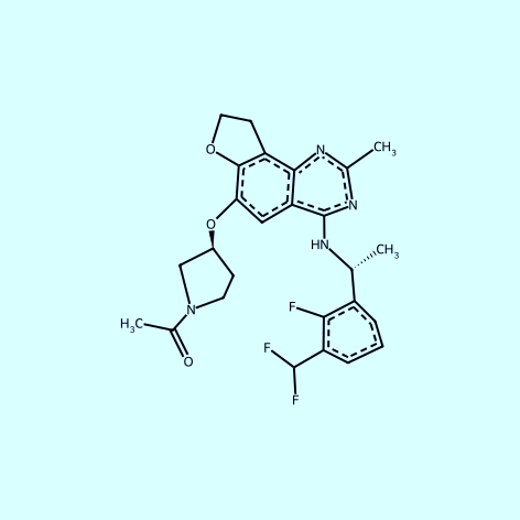 CC(=O)N1CC[C@H](Oc2cc3c(N[C@H](C)c4cccc(C(F)F)c4F)nc(C)nc3c3c2OCC3)C1